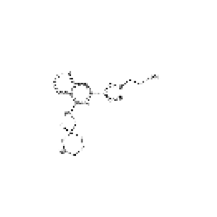 COCCn1cc(-c2cc3ncccc3c(NC[C@]3(F)CCCNC3)n2)cn1